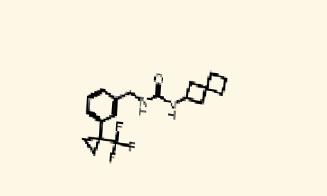 O=C(NCc1cccc(C2(C(F)(F)F)CC2)c1)NC1CC2(CCC2)C1